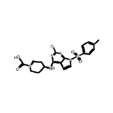 Cc1ccc(S(=O)(=O)n2ccc3c(NC4CCN(C(=O)O)CC4)nc(Cl)nc32)cc1